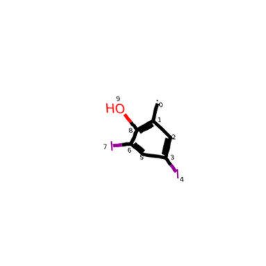 [CH2]c1cc(I)cc(I)c1O